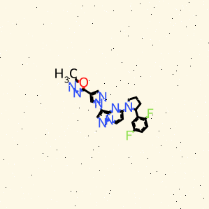 Cc1nnc(-c2cnn(-c3cnn4ccc(N5CCCC5c5cc(F)ccc5F)nc34)c2)o1